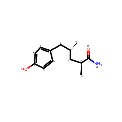 C[C@@H](Cc1ccc(O)cc1)C[C@H](C)C(N)=O